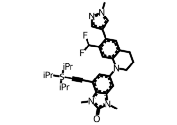 CC(C)S(C#Cc1cc(N2CCCc3cc(-c4cnn(C)c4)c(C(F)F)cc32)cc2c1n(C)c(=O)n2C)(C(C)C)C(C)C